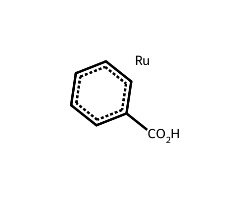 O=C(O)c1ccccc1.[Ru]